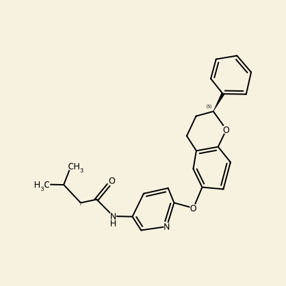 CC(C)[CH]C(=O)Nc1ccc(Oc2ccc3c(c2)CC[C@@H](c2ccccc2)O3)nc1